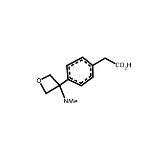 CNC1(c2ccc(CC(=O)O)cc2)COC1